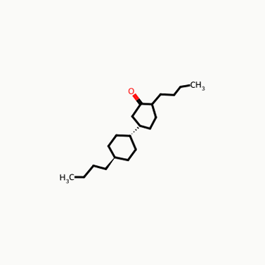 CCCCC1CCC([C@H]2CC[C@H](CCCC)CC2)CC1=O